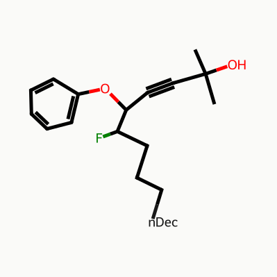 CCCCCCCCCCCCCC(F)C(C#CC(C)(C)O)Oc1ccccc1